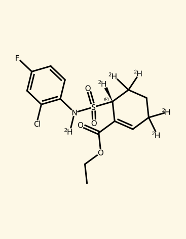 [2H]N(c1ccc(F)cc1Cl)S(=O)(=O)[C@@]1([2H])C(C(=O)OCC)=CC([2H])([2H])CC1([2H])[2H]